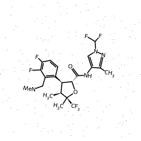 CNCc1c([C@H]2[C@H](C(=O)Nc3cn(C(F)F)nc3C)O[C@@](C)(C(F)(F)F)[C@H]2C)ccc(F)c1F